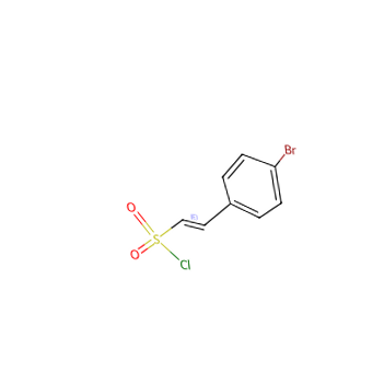 O=S(=O)(Cl)/C=C/c1ccc(Br)cc1